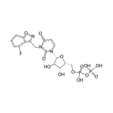 O=c1ccn([C@@H]2O[C@H](COP(=O)(O)OP(=O)(O)O)[C@H](O)C2O)c(=O)n1Cc1noc2cccc(F)c12